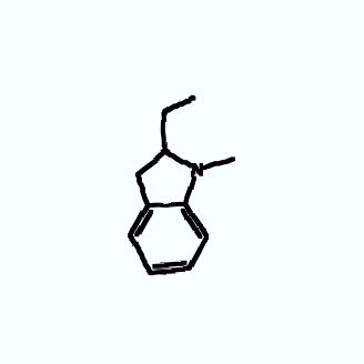 CCC1Cc2ccccc2N1C